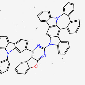 c1ccc(-n2c3ccccc3c3ccc(-c4nc(-n5c6ccccc6c6c7c8c(cc65)c5ccccc5n8-c5ccccc5-c5ccccc5-7)nc5oc6ccccc6c45)cc32)cc1